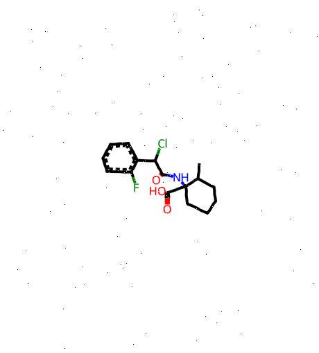 CC1CCCCC1(NC(=O)C(Cl)c1ccccc1F)C(=O)O